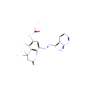 COC(=O)Nc1cc(/N=N/c2snc3ncccc23)c2c(c1O)C(C)(C)CC(=O)N2